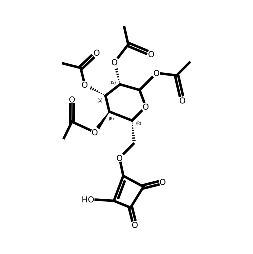 CC(=O)OC1O[C@H](COc2c(O)c(=O)c2=O)[C@@H](OC(C)=O)[C@H](OC(C)=O)[C@@H]1OC(C)=O